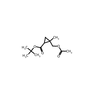 CC(=O)OCC1(C)CC1C(=O)OC(C)(C)C